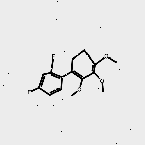 COC1=C(OC)C(OC)=C(c2ccc(F)cc2F)C[CH]1